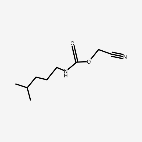 CC(C)CCCNC(=O)OCC#N